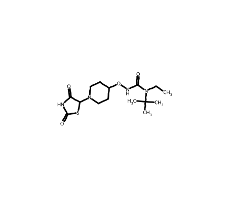 CCN(C(=O)NOC1CCN(C2SC(=O)NC2=O)CC1)C(C)(C)C